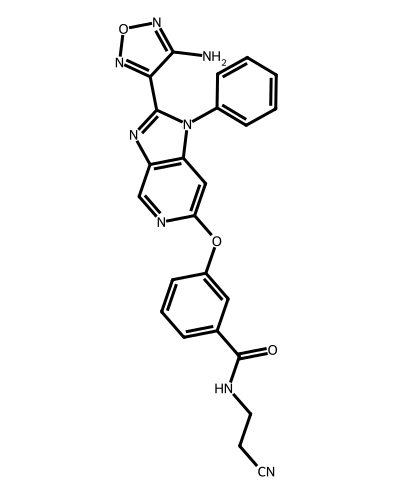 N#CCCNC(=O)c1cccc(Oc2cc3c(cn2)nc(-c2nonc2N)n3-c2ccccc2)c1